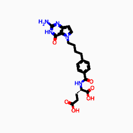 Nc1nc2ccn(CCCCc3ccc(C(=O)N[C@@H](CCC(=O)O)C(=O)O)cc3)c2c(=O)[nH]1